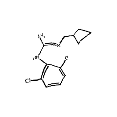 NC(=NCC1CCC1)Nc1c(Cl)cccc1Cl